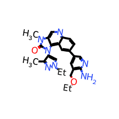 CCOCc1cc(-c2ccc3ncc4c(c3c2)n(-c2cn(CC)nc2C)c(=O)n4C)cnc1N